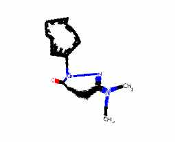 CN(C)C1=NN(c2ccccc2)C(=O)C1